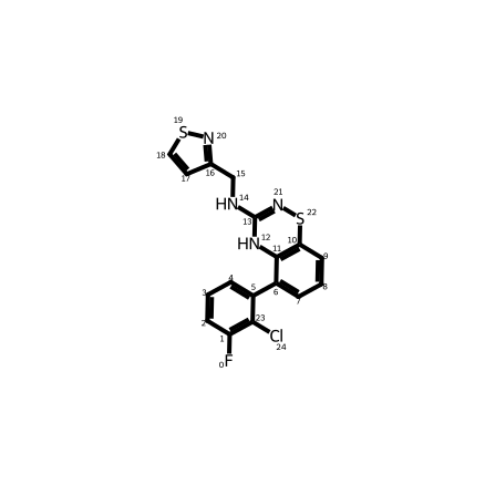 Fc1cccc(-c2cccc3c2NC(NCc2ccsn2)=NS3)c1Cl